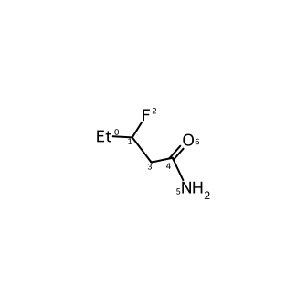 CCC(F)CC(N)=O